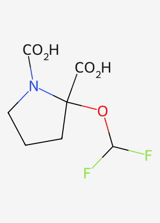 O=C(O)N1CCCC1(OC(F)F)C(=O)O